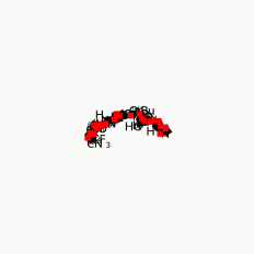 Cc1ncsc1-c1ccc([C@H](C)NC(=O)[C@@H]2C[C@@H](O)CN2C(=O)[C@@H](NC(=O)COCCN2CCN(c3cnc(C(=O)NC4C(C)(C)C(Oc5ccc(C#N)c(C(F)(F)F)c5)C4(C)C)cn3)CC2)C(C)(C)C)cc1